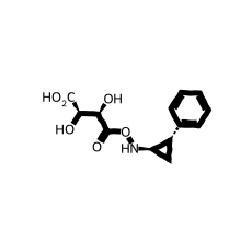 O=C(O)[C@H](O)[C@@H](O)C(=O)ON[C@@H]1C[C@H]1c1ccccc1